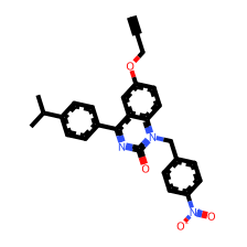 C#CCOc1ccc2c(c1)c(-c1ccc(C(C)C)cc1)nc(=O)n2Cc1ccc([N+](=O)[O-])cc1